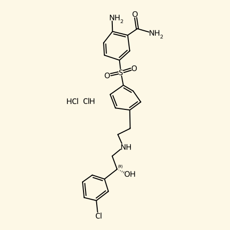 Cl.Cl.NC(=O)c1cc(S(=O)(=O)c2ccc(CCNC[C@H](O)c3cccc(Cl)c3)cc2)ccc1N